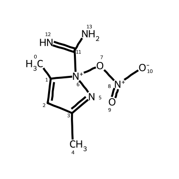 CC1=CC(C)=N[N+]1(O[N+](=O)[O-])C(=N)N